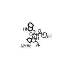 CC(=O)Nc1cccc2c1CC(CN(C)C)CN2C(=O)[C@@H](Cc1c[nH]c2ccccc12)NC(=O)N1CCNCC1